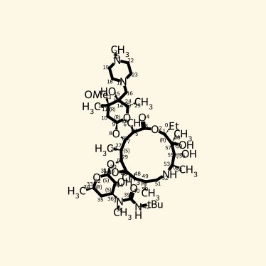 CC[C@H]1OC(=O)[C@H](C)[C@@H](O[C@H]2C[C@@](C)(OC)[C@](O)(CN3CCN(C)CC3)[C@H](C)O2)[C@H](C)[C@@H](O[C@@H]2O[C@H](C)C[C@H](N(C)C(=O)NC(C)(C)C)[C@H]2O)[C@](C)(O)C[C@@H](C)CN[C@H](C)[C@@H](O)[C@]1(C)O